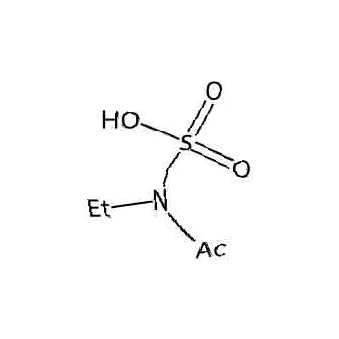 [CH2]CN(C(C)=O)S(=O)(=O)O